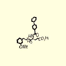 COc1cccc(CCNC(=O)[C@H](CCC(=O)O)NC(=O)c2ccc(-c3ccccc3)cc2)c1